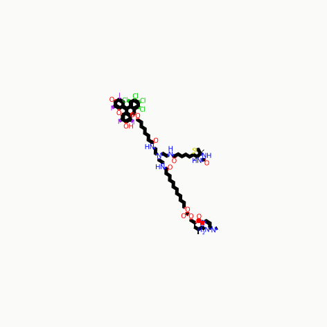 C/N=C(N)\C=C/N(C=O)C(C)[C@@H](C)C[C@@H](COC(=O)OCCCCCCCCCCCC(=O)NCCN(CCNC(=O)CCCCCCCOC(=O)c1c(Cl)c(Cl)c(Cl)c(Cl)c1-c1c2cc(I)c(=O)c(I)c-2oc2c(I)c(O)c(I)cc12)CCNC(=O)CCCCC1SC[C@@]2(C)NC(=O)N[C@@]12C)OC